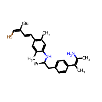 C/C(N)=C(\C)c1ccc(CC(Nc2cc(C)c(/C=C/C(=C\S)C(C)(C)C)cc2C)C(C)C)cc1